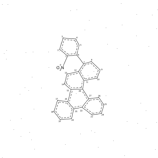 O=[N+]([O-])c1ccccc1-c1cccc2c1ccc1c3ccccc3c3ccccc3c21